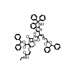 CCNC(=O)/C=C\SC1=C(C(=O)OC(c2ccccc2)c2ccccc2)N2C(=O)[C@@H](NC(=O)/C(=N\OCC(=O)OC(c3ccccc3)c3ccccc3)c3csc(NC(c4ccccc4)(c4ccccc4)c4ccccc4)n3)[C@H]2SC1